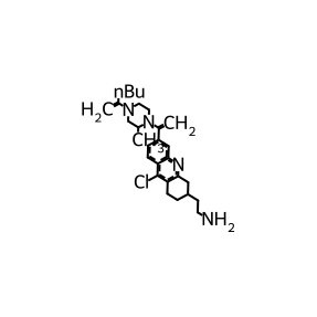 C=C(CCCC)N1CCN(C(=C)c2ccc3c(Cl)c4c(nc3c2)CC(CCN)CC4)C(C)C1